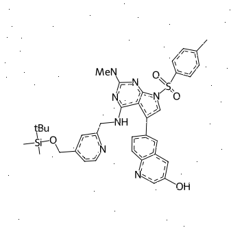 CNc1nc(NCc2cc(CO[Si](C)(C)C(C)(C)C)ccn2)c2c(-c3ccc4ncc(O)cc4c3)cn(S(=O)(=O)c3ccc(C)cc3)c2n1